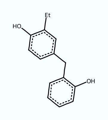 CCc1cc(Cc2ccccc2O)ccc1O